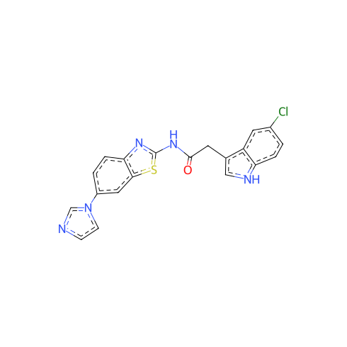 O=C(Cc1c[nH]c2ccc(Cl)cc12)Nc1nc2ccc(-n3ccnc3)cc2s1